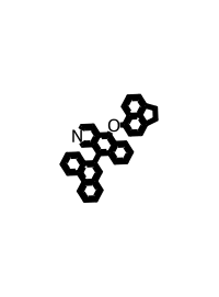 c1ccc2c(c1)cc(-c1c3ccccc3c(Oc3ccc4c5c(cccc35)CC4)c3ccncc13)c1ccccc12